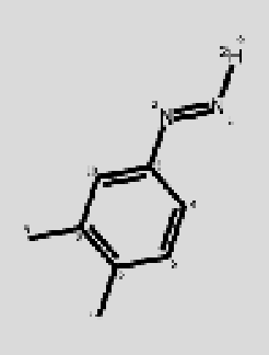 [2H]N=Nc1ccc(C)c(C)c1